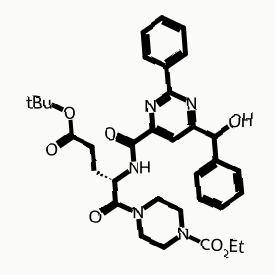 CCOC(=O)N1CCN(C(=O)[C@H](CCC(=O)OC(C)(C)C)NC(=O)c2cc(C(O)c3ccccc3)nc(-c3ccccc3)n2)CC1